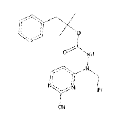 CC(C)CN(NC(=O)OC(C)(C)Cc1ccccc1)c1ccnc(C#N)n1